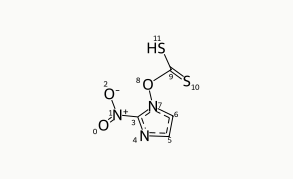 O=[N+]([O-])c1nccn1OC(=S)S